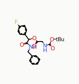 CC(C)(C)OC(=O)NCC(=O)OC(C(=O)NCc1ccccc1)c1ccc(F)cc1